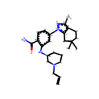 C=CCN1CCC[C@H](Nc2cc(-n3nc(C(F)(F)F)c4c3CC(C)(C)CC4)ccc2C(N)=O)C1